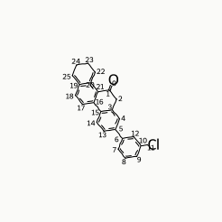 O=C1Cc2cc(-c3cccc(Cl)c3)ccc2-c2ccc3c(c21)=CCCC=3